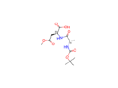 COC(=O)C[C@H](NC(=O)[C@H](C)NC(=O)OC(C)(C)C)C(=O)O